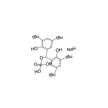 CC(C)(C)c1cc(C(OP(=O)(O)O)c2cc(C(C)(C)C)cc(C(C)(C)C)c2O)c(O)c(C(C)(C)C)c1.[NaH]